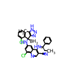 BC(Nc1cc(Cl)c2ncc(C#N)c(N[C@H](CC)c3ccccc3)c2c1)(c1ccccc1Cl)c1nn[nH]c1C